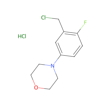 Cl.Fc1ccc(N2CCOCC2)cc1CCl